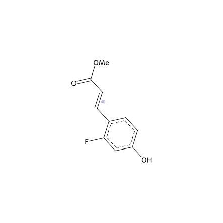 COC(=O)/C=C/c1ccc(O)cc1F